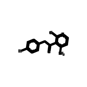 CCc1ccc(CC(=O)c2c(N)ccnc2Cl)cc1